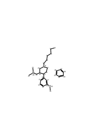 CCCCCCN1CCC(c2cccc(OC)c2)C(CN(C)C)C1.c1ccccc1